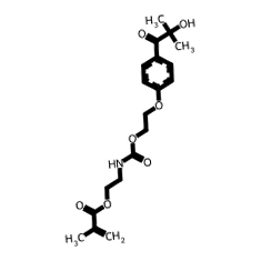 C=C(C)C(=O)OCCNC(=O)OCCOc1ccc(C(=O)C(C)(C)O)cc1